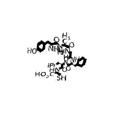 CC(C)C[C@H](NC(=O)[C@H](Cc1ccccc1)NC(=O)CNC(=O)[C@@H](C)NC(=O)[C@@H](N)Cc1ccc(O)cc1)C(=O)N[C@@H](CS)C(=O)O